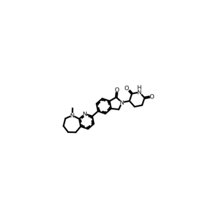 CN1CCCCc2ccc(-c3ccc4c(c3)CN(C3CCC(=O)NC3=O)C4=O)nc21